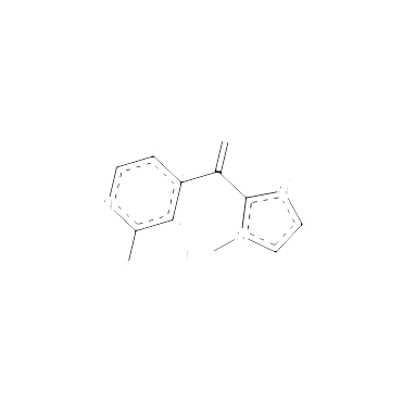 Cn1ccnc1C(=O)c1ccnc(F)c1